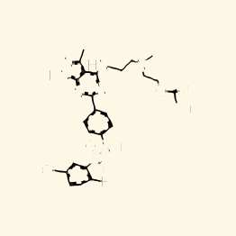 Cc1n[nH]c2nc(-c3ccc(NS(=O)(=O)c4cc(Cl)ccc4F)cc3)nc(NCCN(C)CCOC(=O)C(C)C)c12